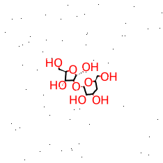 OC[C@H]1C[C@H](O)[C@@H](O)[C@H](O[C@H]2[C@H](O)[C@@H](CO)O[C@@H]2CO)O1